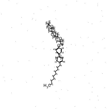 CCCCCCCCCCc1cnc(-c2ccc(OC(F)C(F)(F)OC(F)(F)C(F)(F)OC(F)(F)C(F)(F)OC(F)(F)F)cc2)nc1